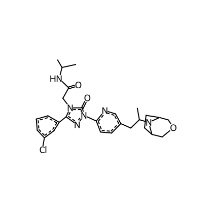 CC(C)NC(=O)Cn1c(-c2cccc(Cl)c2)nn(-c2ccc(CC(C)N3C4CCC3COC4)cn2)c1=O